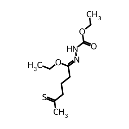 CCOC(=O)NN=C(CCCC(C)=S)OCC